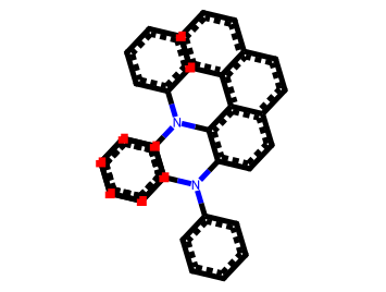 c1ccc(N(c2ccccc2)c2ccc3ccc4ccccc4c3c2N(c2ccccc2)c2ccccc2)cc1